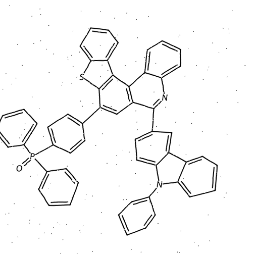 O=P(c1ccccc1)(c1ccccc1)c1ccc(-c2cc3c(-c4ccc5c(c4)c4ccccc4n5-c4ccccc4)nc4ccccc4c3c3c2sc2ccccc23)cc1